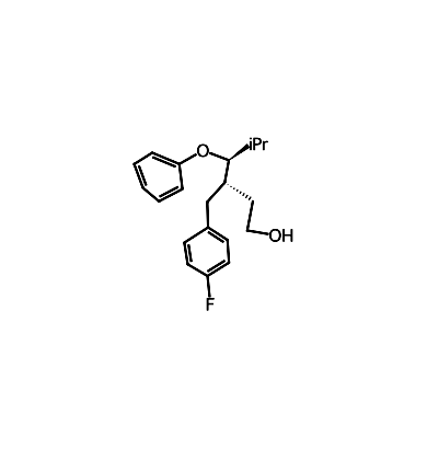 CC(C)[C@H](Oc1ccccc1)[C@H](CCO)Cc1ccc(F)cc1